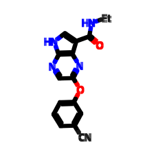 CCNC(=O)c1c[nH]c2ncc(Oc3cccc(C#N)c3)nc12